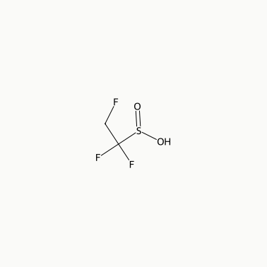 O=S(O)C(F)(F)CF